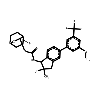 COc1cc(-c2ccc3c(c2)CC(C)(C)C3NC(=O)O[C@H]2CN3CCC2CC3)cc(C(F)(F)F)c1